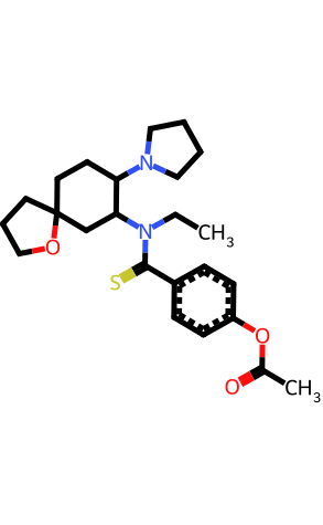 CCN(C(=S)c1ccc(OC(C)=O)cc1)C1CC2(CCCO2)CCC1N1CCCC1